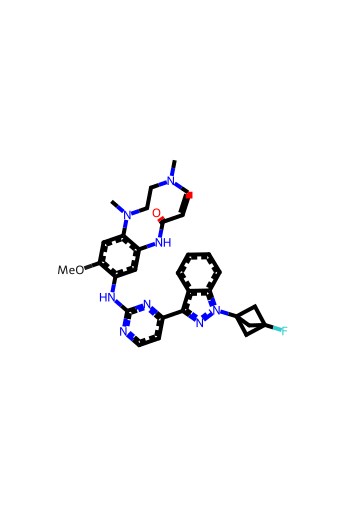 C=CC(=O)Nc1cc(Nc2nccc(-c3nn(C45CC(F)(C4)C5)c4ccccc34)n2)c(OC)cc1N(C)CCN(C)C